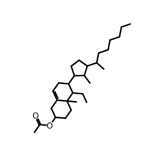 CCCCCCC(C)C1CCC(C2CC=C3CC(OC(C)=O)CCC3(C)C2CC)C1C